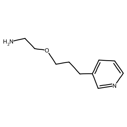 NCCOCCCc1cccnc1